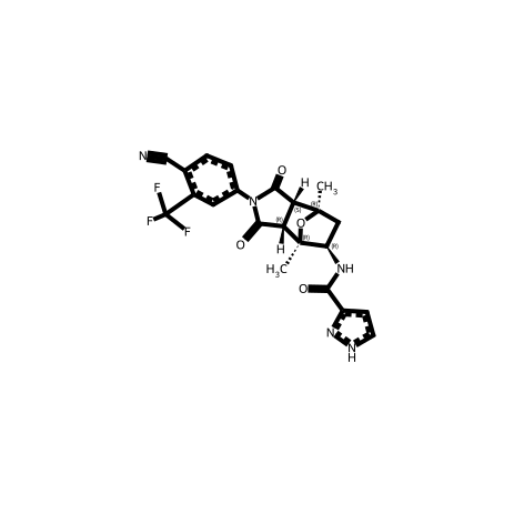 C[C@]12O[C@](C)(C[C@H]1NC(=O)c1cc[nH]n1)[C@H]1C(=O)N(c3ccc(C#N)c(C(F)(F)F)c3)C(=O)[C@H]12